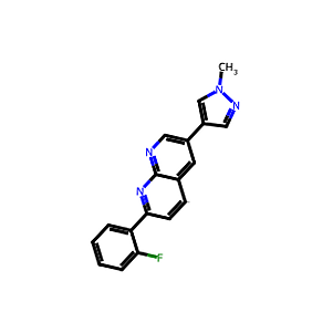 Cn1cc(-c2cnc3nc(-c4ccccc4F)c[c]c3c2)cn1